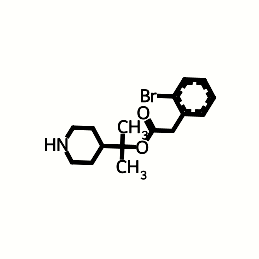 CC(C)(OC(=O)Cc1ccccc1Br)C1CCNCC1